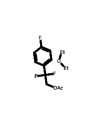 CC(=O)OCC(F)(F)c1ccc(F)cc1.CCOCC